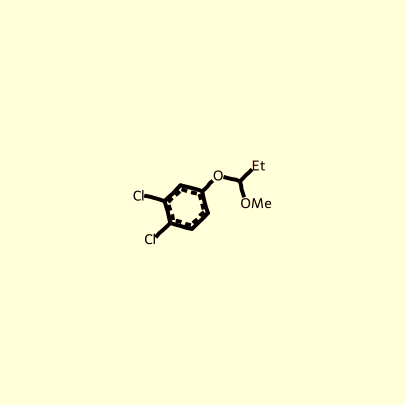 CCC(OC)Oc1ccc(Cl)c(Cl)c1